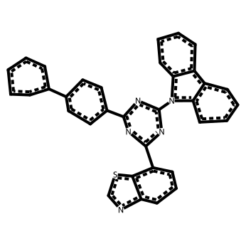 c1ccc(-c2ccc(-c3nc(-c4cccc5ncsc45)nc(-n4c5ccccc5c5ccccc54)n3)cc2)cc1